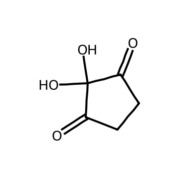 O=C1CCC(=O)C1(O)O